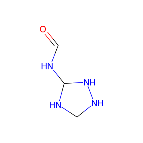 O=CNC1NCNN1